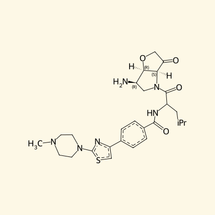 CC(C)CC(NC(=O)c1ccc(-c2csc(N3CCN(C)CC3)n2)cc1)C(=O)N1C[C@@H](N)[C@H]2OCC(=O)[C@H]21